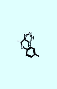 Cc1ccc(O[C@H](C)c2nnn[nH]2)cc1